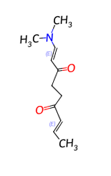 C/C=C/C(=O)CCC(=O)/C=C/N(C)C